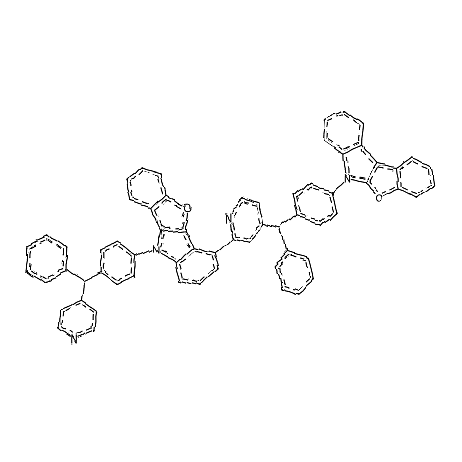 c1ccc(C(c2ccncc2)c2ccc(-n3c4cccc(-c5cc(C(c6ccccc6)c6ccc(-n7c8ccccc8c8c9ccccc9oc87)cc6)ccn5)c4c4oc5ccccc5c43)cc2)cc1